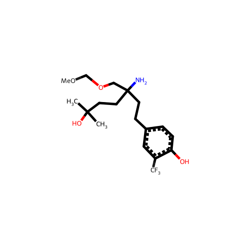 COCOCC(N)(CCc1ccc(O)c(C(F)(F)F)c1)CCC(C)(C)O